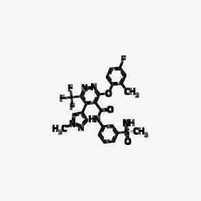 Cc1cc(F)ccc1Oc1nnc(C(F)(F)F)c(-c2cnn(C)c2)c1C(=O)Nc1cccc([S@@](C)(=N)=O)c1